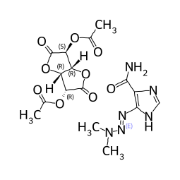 CC(=O)O[C@@H]1C(=O)O[C@@H]2[C@H]1OC(=O)[C@@H]2OC(C)=O.CN(C)/N=N/c1[nH]cnc1C(N)=O